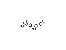 CC(=O)OC1(c2ccc(C(=N)N3CCC(c4ccc(C(F)(F)F)cc4)CC3)cc2)COC1